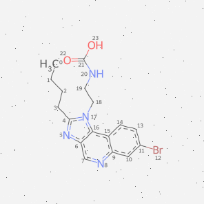 CCCCc1nc2cnc3cc(Br)ccc3c2n1CCNC(=O)O